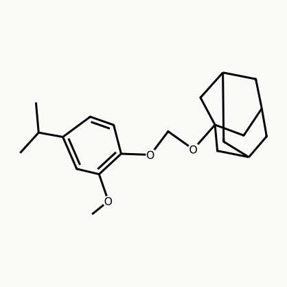 COc1cc(C(C)C)ccc1OCOC12CC3CC(CC(C3)C1)C2